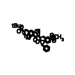 CC(C)(C)OC(=O)N1Cc2cc(Cl)c(C(=O)N[C@@H](Cc3cccc(S(C)(=O)=O)c3)C(=O)OCc3ccccc3)c3ccn(c23)C1